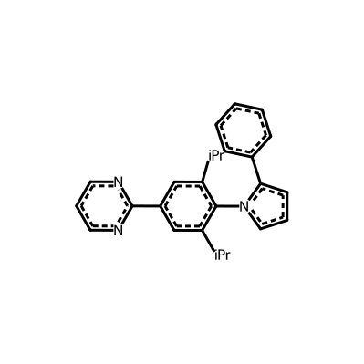 CC(C)c1cc(-c2ncccn2)cc(C(C)C)c1-n1cccc1-c1ccccc1